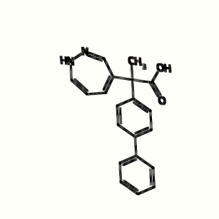 CC(C(=O)O)(C1=CC=CNN=C1)c1ccc(-c2ccccc2)cc1